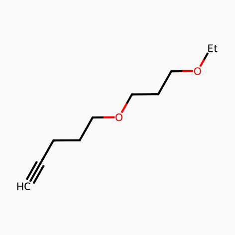 C#CCCCOCCCOCC